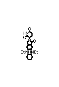 CCN[C@@H]1CCCCC1N(CC)c1ccc2c(c1)CN(C1CCC(=O)NC1=O)C2=O